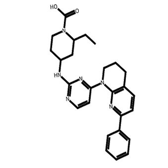 CCC1CC(Nc2nccc(N3CCCc4ccc(-c5ccccc5)nc43)n2)CCN1C(=O)O